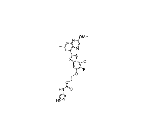 COc1cnc2c(-c3nc4c(Cl)c(F)c(OCCOC(=O)Nc5cn[nH]c5)cc4s3)cc(C)cc2n1